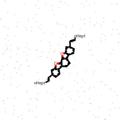 CCCCCCC/C=C/c1ccc2c(c1)oc1c2ccc2c3ccc(/C=C/CCCCCCC)cc3oc21